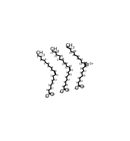 CCCCCCCCCC/C=C\CCCCCCCC(=O)[O-].CCCCCCCCCC/C=C\CCCCCCCC(=O)[O-].CCCCCCCCCC/C=C\CCCCCCCC(=O)[O-].[Pr+3]